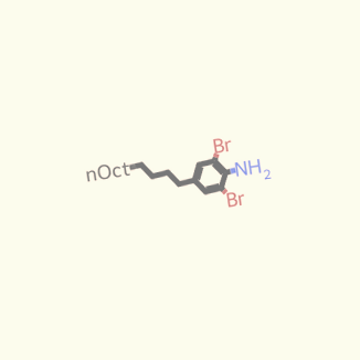 CCCCCCCCCCCCc1cc(Br)c(N)c(Br)c1